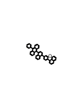 c1ccc(-c2c3ccccc3c(-c3ccc(-c4ccc5c(c4)Oc4cccc6cccc-5c46)c4ccccc34)c3ccccc23)cc1